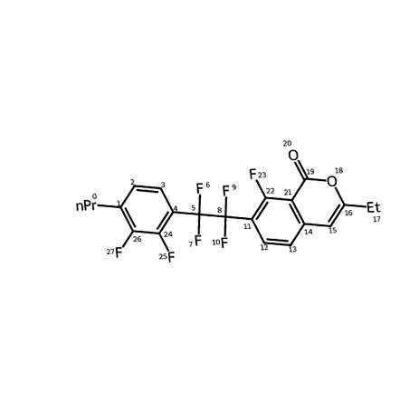 CCCc1ccc(C(F)(F)C(F)(F)c2ccc3cc(CC)oc(=O)c3c2F)c(F)c1F